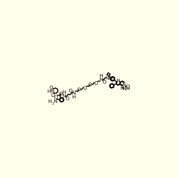 NC(=O)c1cccc(NC(=O)CCC(=O)NCCOCCOCCOCCOCCNC(=O)CNC2(c3ccc(-c4nc5ccn6c(=O)[nH]nc6c5cc4-c4ccccc4)cc3)CCC2)c1C(=O)C[C@H]1CCCC(=O)NC1=O